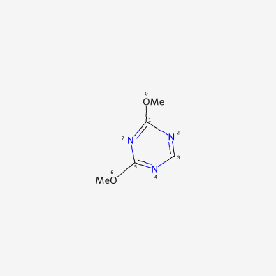 COc1ncnc(OC)n1